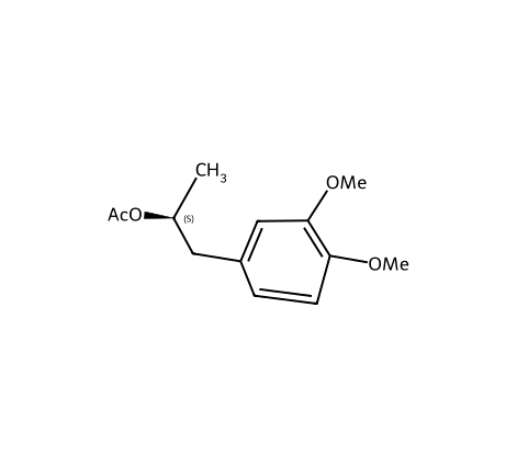 COc1ccc(C[C@H](C)OC(C)=O)cc1OC